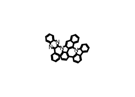 c1ccc(-c2nc3ccccc3nc2-n2c3cccc4c5cccc6c7ccccc7n(c56)c5c6ccccc6cc2c5c43)cc1